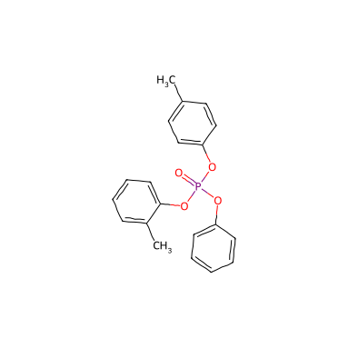 Cc1ccc(OP(=O)(Oc2ccccc2)Oc2ccccc2C)cc1